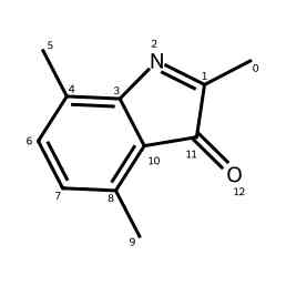 CC1=Nc2c(C)ccc(C)c2C1=O